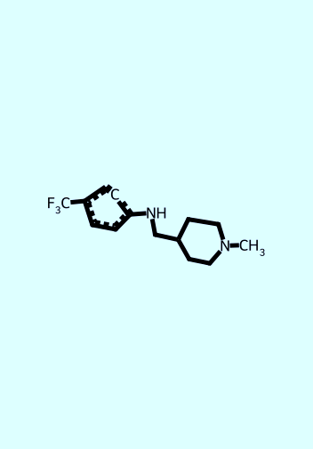 CN1CCC(CNc2ccc(C(F)(F)F)cc2)CC1